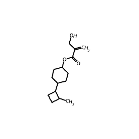 C=C(CO)C(=O)OC1CCC(C2CCC2C)CC1